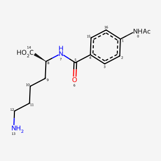 CC(=O)Nc1ccc(C(=O)N[C@@H](CCCCN)C(=O)O)cc1